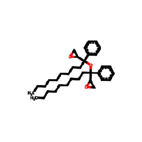 CCCCCCCCCC(OC(CCCCCCCCC)(c1ccccc1)C1CO1)(c1ccccc1)C1CO1